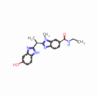 CCNC(=O)c1ccc2nc(C(C)c3nc4cc(O)ccc4[nH]3)n(C)c2c1